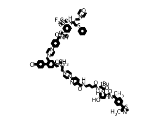 Cc1ncsc1-c1ccc([C@H](C)NC(=O)[C@@H]2C[C@@H](O)CN2C(=O)[C@@H](NC(=O)CCCNC(=O)c2ccc(N3CCN(CCN(C)CC4(C)CCC(c5ccc(Cl)cc5)=C(CN5CCN(c6ccc(C(=O)NS(=O)(=O)c7ccc(N[C@H](CCN8CCOCC8)CSc8ccccc8)c(S(=O)(=O)C(F)(F)F)c7)cc6)CC5)C4)CC3)nc2)C(C)(C)C)cc1